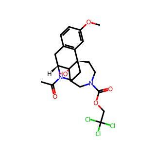 COc1ccc2c(c1)[C@@]13CCN(C(=O)OCC(Cl)(Cl)Cl)CC[C@@]1(O)[C@@H](C2)N(C(C)=O)CC3